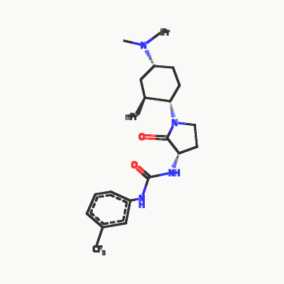 CCC[C@H]1C[C@H](N(C)C(C)C)CC[C@@H]1N1CC[C@H](NC(=O)Nc2cccc(C(F)(F)F)c2)C1=O